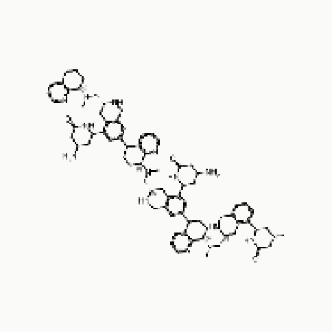 CN1CC(=O)NC(c2cccc3c2C[C@H](CN(C)[C@H]2CCC(c4cc5c(c(C6CC(N)CC(=O)N6)c4)C[C@@H](CN(C)[C@H]4CCC(c6cc7c(c(C8CC(N)CC(=O)N8)c6)C[C@H](CN(C)[C@H]6CCCc8cccnc86)NC7)c6cccnc64)NC5)c4cccnc42)NC3)C1